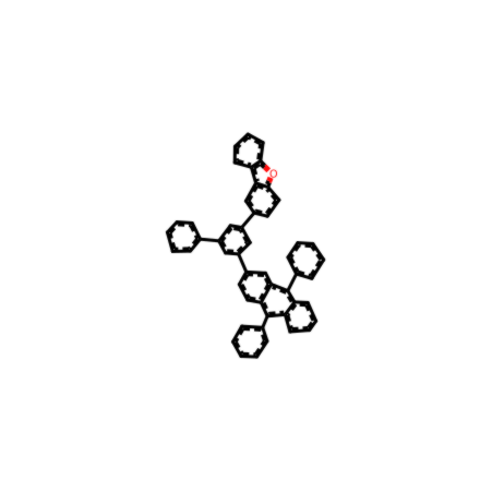 c1ccc(-c2cc(-c3ccc4c(-c5ccccc5)c5ccccc5c(-c5ccccc5)c4c3)cc(-c3ccc4oc5ccccc5c4c3)c2)cc1